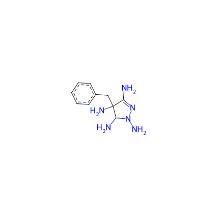 NC1=NN(N)C(N)C1(N)Cc1ccccc1